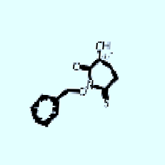 C[C@H]1CCC(=S)N(OCc2ccccc2)C1=O